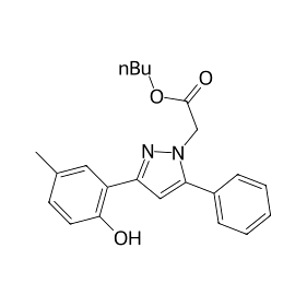 CCCCOC(=O)Cn1nc(-c2cc(C)ccc2O)cc1-c1ccccc1